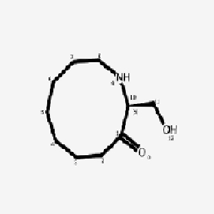 O=C1CCCCCCCN[C@H]1CO